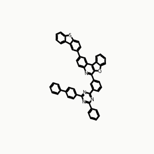 c1ccc(-c2ccc(-c3nc(-c4ccccc4)nc(-c4cccc(-c5nc6ccc(-c7ccc8sc9ccccc9c8c7)cc6c6c5oc5ccccc56)c4)n3)cc2)cc1